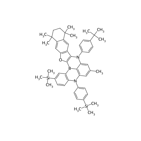 Cc1cc2c3c(c1)N(c1ccc(C(C)(C)C)cc1)c1c(oc4cc5c(cc14)C(C)(C)CCC5(C)C)B3c1cc([Si](C)(C)C)ccc1N2c1ccc([Si](C)(C)C)cc1